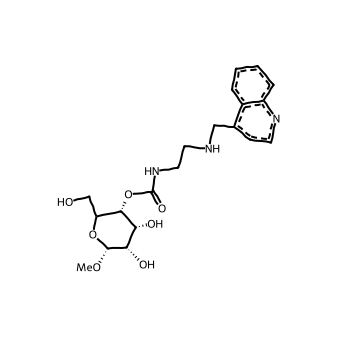 CO[C@@H]1OC(CO)[C@H](OC(=O)NCCNCc2ccnc3ccccc23)[C@H](O)[C@@H]1O